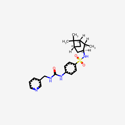 C[C@@H]1[C@@H](NS(=O)(=O)c2ccc(NC(=O)NCc3cccnc3)cc2)C[C@H]2C[C@@H]1C2(C)C